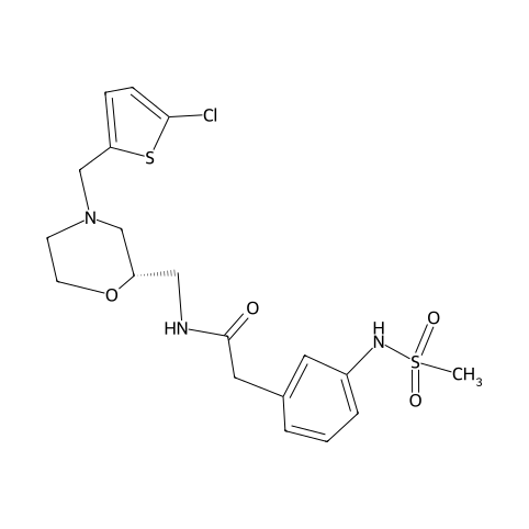 CS(=O)(=O)Nc1cccc(CC(=O)NC[C@H]2CN(Cc3ccc(Cl)s3)CCO2)c1